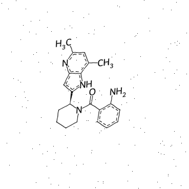 Cc1cc(C)c2[nH]c([C@@H]3CCCCN3C(=O)c3ccccc3N)cc2n1